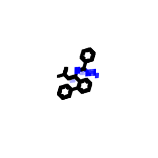 C=C(C)/C=C(\N=C(/N)c1ccccc1)c1ccccc1-c1ccccc1